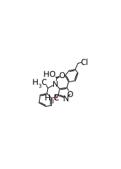 Cc1noc(-c2ccc(CCl)cc2)c1N(C(=O)O)C(C)c1ccccc1F